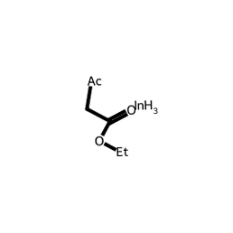 CCOC(=O)CC(C)=O.[InH3]